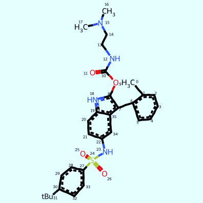 Cc1ccccc1-c1c(OC(=O)NCCN(C)C)[nH]c2ccc(NS(=O)(=O)c3ccc(C(C)(C)C)cc3)cc12